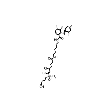 C#CCCC[N+](C)([O-])C(Br)=CC(Cl)CCCC(=O)NCCCCCCNC(=O)c1ccc(F)c(F)c1Nc1ccc(I)cc1F